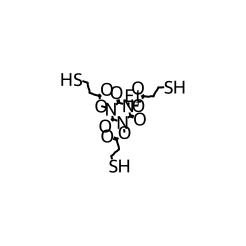 CC[N+]1(OC(=O)CCS)C(=O)N(OC(=O)CCS)C(=O)N(OC(=O)CCS)C1=O